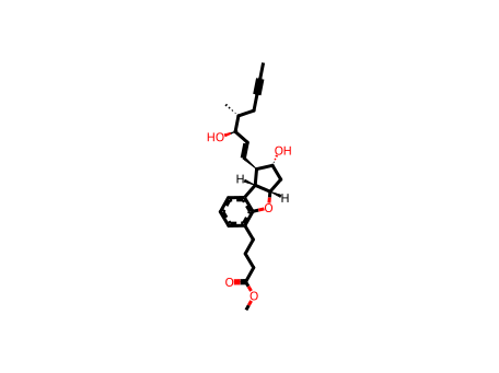 CC#CC[C@@H](C)[C@H](O)/C=C/[C@@H]1[C@H]2c3cccc(CCCC(=O)OC)c3O[C@H]2C[C@H]1O